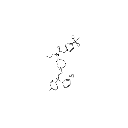 CCCN(C(=O)Cc1ccc(S(C)(=O)=O)cc1)C1CCN(CC[C@H](c2ccc(C)cc2)c2cccc([123I])c2)CC1